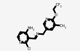 Cc1cc(C/N=C/c2c(N)ccnc2Cl)cnc1OCC(F)(F)F